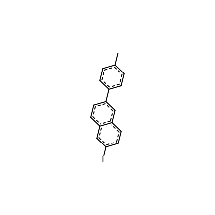 Cc1ccc(-c2ccc3cc(I)ccc3c2)cc1